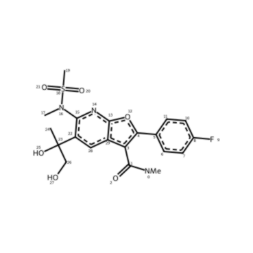 CNC(=O)c1c(-c2ccc(F)cc2)oc2nc(N(C)S(C)(=O)=O)c(C(C)(O)CO)cc12